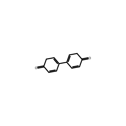 O=C1C=CC(C2=CCC(=O)C=C2)=CC1